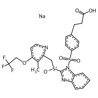 Cc1c(OCC(F)(F)F)ccnc1C[S+]([O-])c1nc2ccccc2n1S(=O)(=O)c1ccc(CCC(=O)O)cc1.[Na]